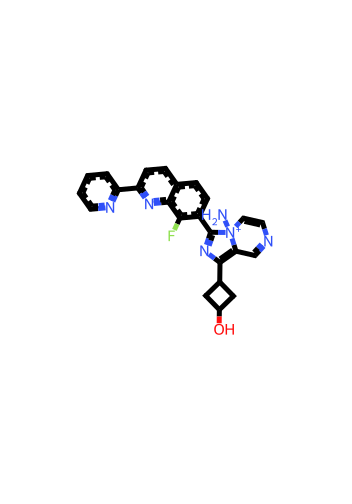 N[N+]12C=CN=CC1=C(C1CC(O)C1)N=C2c1ccc2ccc(-c3ccccn3)nc2c1F